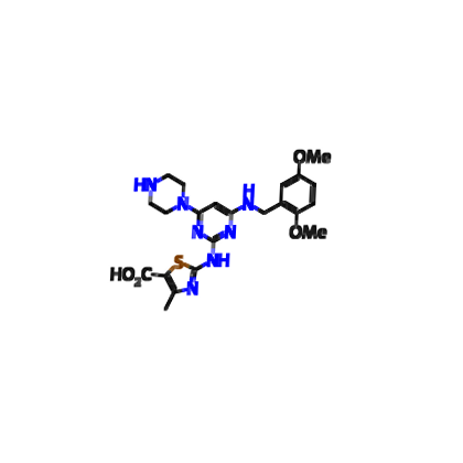 COc1ccc(OC)c(CNc2cc(N3CCNCC3)nc(Nc3nc(C)c(C(=O)O)s3)n2)c1